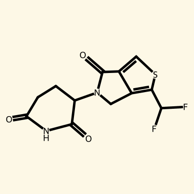 O=C1CCC(N2Cc3c(csc3C(F)F)C2=O)C(=O)N1